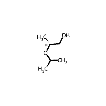 CC(C)O[C@H](C)CO